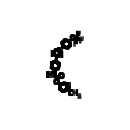 Cc1ccc(OC(=O)Nc2ccc(-c3ncn(-c4ccc(OC(F)(F)F)cc4)n3)cc2)cn1